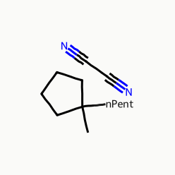 CCCCCC1(C)CCCC1.N#CC#N